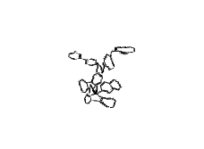 c1ccc(-c2ccc(N(c3ccc(-c4ccccc4)cc3)c3ccc4c(c3)c3ccccc3n4C3(c4ccc5ccccc5c4)c4ccccc4-c4ccccc43)cc2)cc1